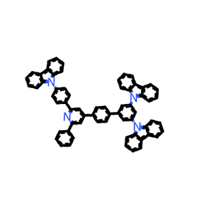 c1ccc(-c2cc(-c3ccc(-c4cc(-n5c6ccccc6c6ccccc65)cc(-n5c6ccccc6c6ccccc65)c4)cc3)cc(-c3ccc(-n4c5ccccc5c5ccccc54)cc3)n2)cc1